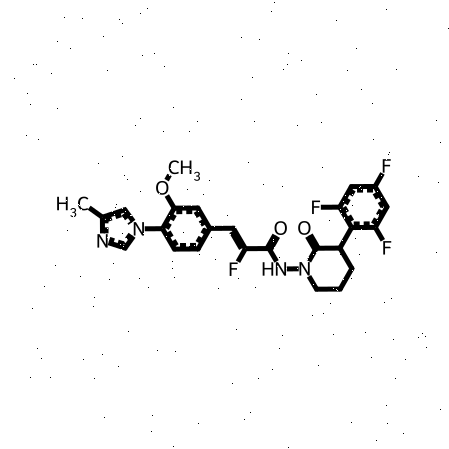 COc1cc(/C=C(\F)C(=O)NN2CCCC(c3c(F)cc(F)cc3F)C2=O)ccc1-n1cnc(C)c1